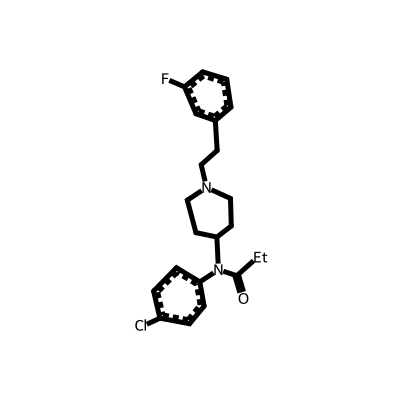 CCC(=O)N(c1ccc(Cl)cc1)C1CCN(CCc2cccc(F)c2)CC1